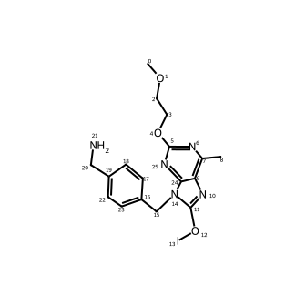 COCCOc1nc(C)c2nc(OI)n(Cc3ccc(CN)cc3)c2n1